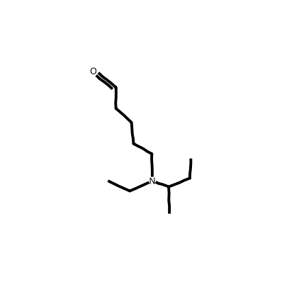 CCC(C)N(CC)CCCCC=O